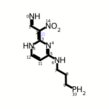 N=C/C(=C1/N=C(NCCCP)C=CN1)[N+](=O)[O-]